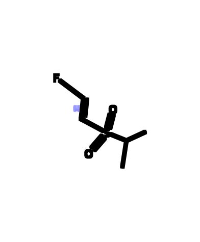 CC(C)S(=O)(=O)/C=C/F